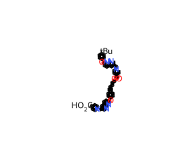 CC(C)(C)[C@H]1CC[C@H](Oc2ccc3cc(CN4CCC(C(=O)OCCCCC(C)(C)[C@H]5CC[C@H](Oc6ccc7cc(CN8CCC(C(=O)O)CC8)cnc7n6)CC5)CC4)cnc3n2)CC1